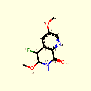 COc1cnc2c(c1)C(F)C(OC)NC2=O